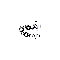 CCOC(=O)N1CCC(Oc2cc(Oc3ccc(/C=C4\SC(=O)NC4=O)cc3)ncn2)CC1